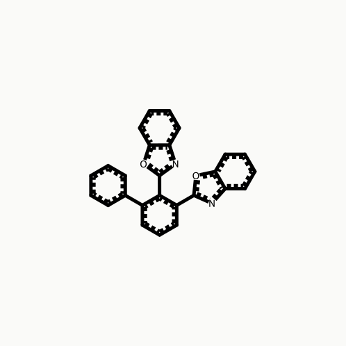 c1ccc(-c2cccc(-c3nc4ccccc4o3)c2-c2nc3ccccc3o2)cc1